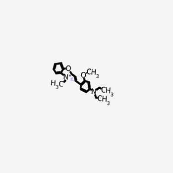 CCN(CC)c1ccc(/C=C/c2oc3ccccc3[n+]2CC)c(OC)c1